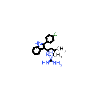 CC(C)CC(=NNC(=N)N)c1c(-c2ccc(Cl)cc2)[nH]c2ccccc12